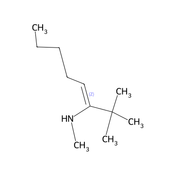 CCCC/C=C(\NC)C(C)(C)C